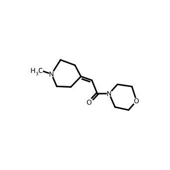 CN1CCC(=CC(=O)N2CCOCC2)CC1